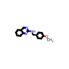 COc1ccc(CNc2ncc3ccccc3n2)cc1